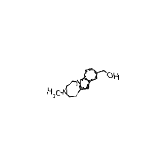 CN1CCc2cc3cc(CO)ccc3n2CC1